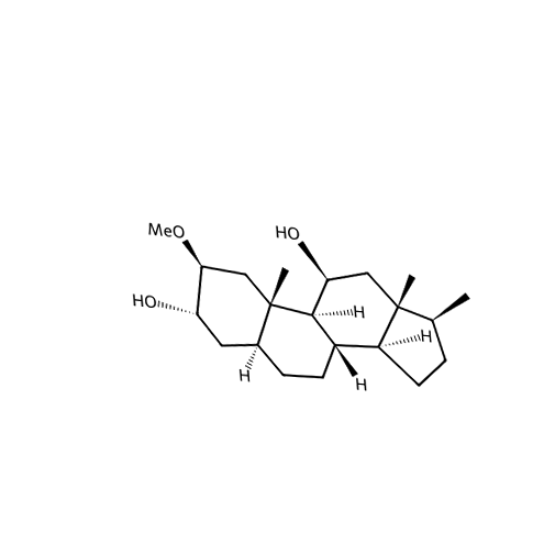 CO[C@H]1C[C@@]2(C)[C@@H](CC[C@@H]3[C@@H]2[C@@H](O)C[C@]2(C)[C@@H](C)CC[C@@H]32)C[C@@H]1O